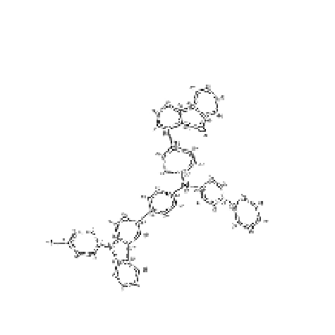 Fc1ccc(-n2c3ccccc3c3cc(-c4ccc(N(c5ccc(-c6ccccc6)cc5)c5ccc(-c6cccc7c6oc6ccccc67)cc5)cc4)ccc32)cc1